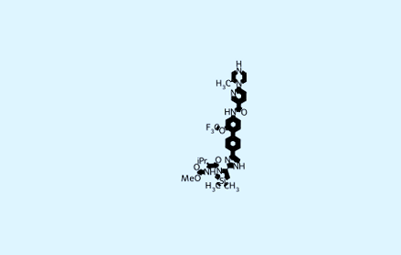 COC(=O)N[C@H](C(=O)N1C[Si](C)(C)C[C@H]1c1nc(-c2ccc(-c3ccc(NC(=O)c4ccc(N5CCNC[C@H]5C)nc4)cc3OC(F)(F)F)cc2)c[nH]1)C(C)C